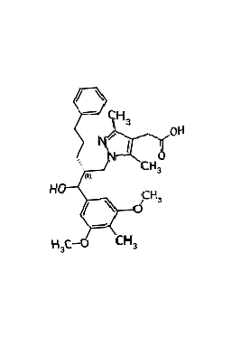 COc1cc(C(O)[C@H](CCCc2ccccc2)Cn2nc(C)c(CC(=O)O)c2C)cc(OC)c1C